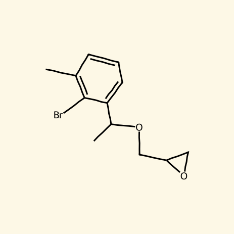 Cc1cccc(C(C)OCC2CO2)c1Br